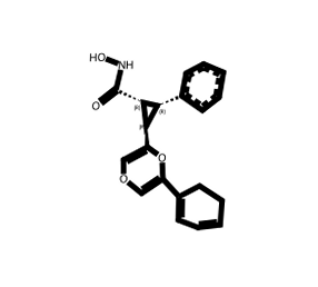 O=C(NO)[C@H]1[C@H](C2=COC=C(C3=CC=CCC3)O2)[C@H]1c1ccccc1